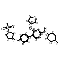 CS(=O)(=O)N1CCC(Oc2ccc(-c3cnc(N[C@H]4CC[C@H](C)CC4)nc3O[C@@H]3CCOC3)cc2)C1